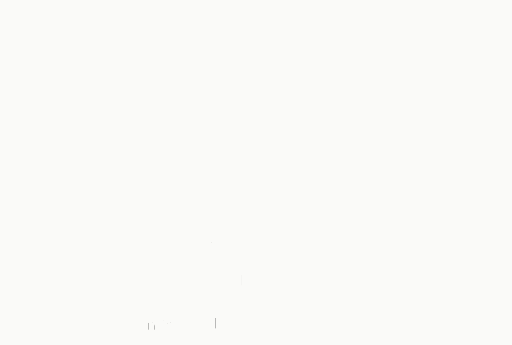 C=CC1CCC(/C=C/C2CCC(c3ccc(-c4ccc(CCC)c(F)c4F)cc3)CC2)CC1